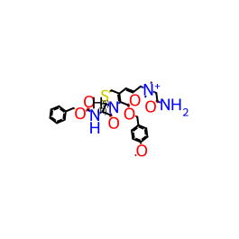 COc1ccc(COC(=O)C2=C(C=CC[N+](C)(C)CC(N)=O)CS[C@H]3[C@H](NC(=O)OCc4ccccc4)C(=O)N23)cc1